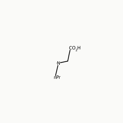 CCC[N]CC(=O)O